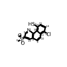 CS(=O)(=O)c1cnc2c(ccc3c(Cl)ccc(S)c32)c1